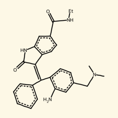 CCNC(=O)c1ccc2c(c1)NC(=O)C2=C(c1ccccc1)c1ccc(CN(C)C)cc1N